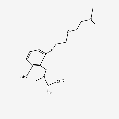 CCCC(C=O)N(C)Cc1c(C=O)cccc1SCCOCCN(C)C